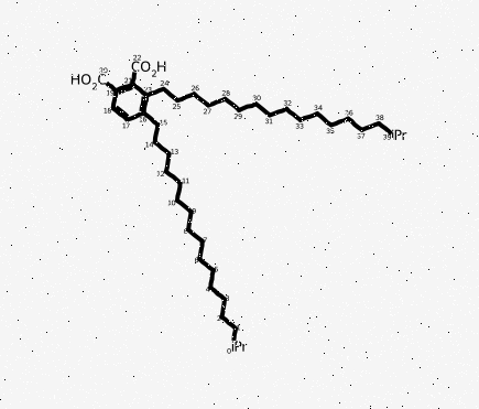 CC(C)CCCCCCCCCCCCCCCc1ccc(C(=O)O)c(C(=O)O)c1CCCCCCCCCCCCCCCC(C)C